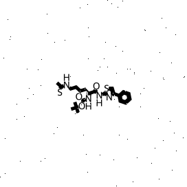 CC(=S)NCCCC[C@H](NC(=O)OC(C)(C)C)C(=O)Nc1nc(-c2ccccc2)cs1